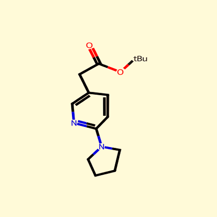 CC(C)(C)OC(=O)Cc1ccc(N2CCCC2)nc1